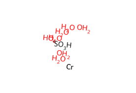 O.O.O.O.O.O.O=S(=O)(O)O.[Cr]